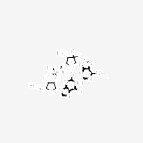 Nc1nc2c(ncn2[C@@H]2S[C@H](CO)[C@@H](F)[C@H]2OP(=O)(S)OC[C@H]2O[C@@H](n3nnc4c(N)ncnc43)C(F)(F)[C@@H]2O)c(=O)[nH]1